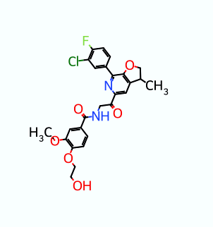 COc1cc(C(=O)NCC(=O)c2cc3c(c(-c4ccc(F)c(Cl)c4)n2)OCC3C)ccc1OCCO